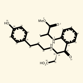 COC(=O)C(C)Nc1ccccc1C(=O)[C@H](CC(=O)O)NCCCc1ccc(O)cc1